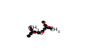 COc1ccc(N(c2ccc(-c3ccccc3)cc2)c2ccc(-c3ccc(Oc4ccc(-c5ccc(N(c6ccc(OC)cc6)c6ccc(-c7ccccc7)cc6)cc5)cc4)cc3)cc2)cc1